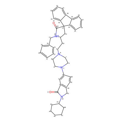 O=C1c2cc(N3CCN(CCCCC4(C(=O)NCc5ccccc5)c5ccccc5-c5ccccc54)CC3)ccc2CN1C1CCCCC1